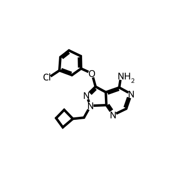 Nc1ncnc2c1c(Oc1cccc(Cl)c1)nn2CC1CCC1